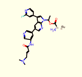 CC[C@H](C)[C@H](N)C(=O)OC(C)n1cc(-c2ccnc(F)c2)c2cc(-c3cncc(NC(=O)/C=C/CN(C)C)c3)cnc21